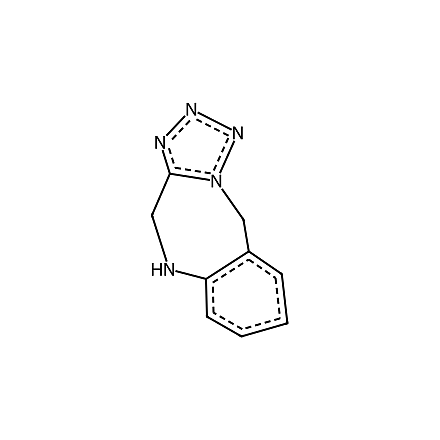 c1ccc2c(c1)Cn1nnnc1CN2